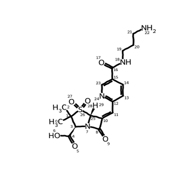 CC1(C)[C@H](C(=O)O)N2C(=O)/C(=C/c3ccc(C(=O)NCCCN)cn3)[C@H]2S1(=O)=O